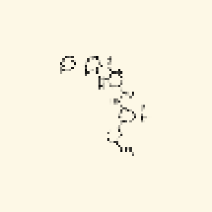 Cc1ncc(C(=O)Nc2cc(C3CCCN(C)C3)cc(C(F)(F)F)c2)cc1Nc1nccc(-c2cccnc2)n1